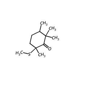 CSC1(C)CCC(C)C(C)(C)C1=O